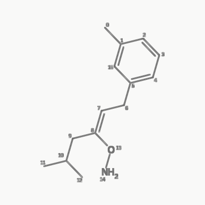 Cc1cccc(C/C=C(/CC(C)C)ON)c1